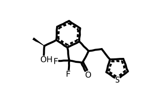 C[C@H](O)c1cccc2c1C(F)(F)C(=O)C2Cc1ccsc1